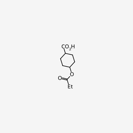 CCC(=O)OC1CCC(C(=O)O)CC1